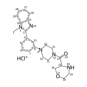 Cl.Cn1c(-c2cccc(N3CCN(C(=O)C4COCCN4)CC3)c2)nc2ccccc21